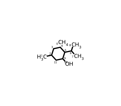 C.CC1CCC(C(C)C)C(O)C1